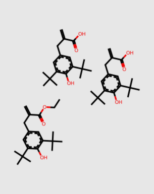 C=C(Cc1cc(C(C)(C)C)c(O)c(C(C)(C)C)c1)C(=O)O.C=C(Cc1cc(C(C)(C)C)c(O)c(C(C)(C)C)c1)C(=O)O.C=C(Cc1cc(C(C)(C)C)c(O)c(C(C)(C)C)c1)C(=O)OCC